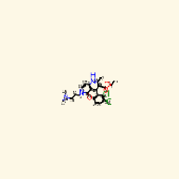 CCOC(=O)C1=C(C)Nc2ccn(CCCN(C)C)c(=O)c2C1c1cccc(Cl)c1Cl